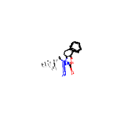 CCOC(=O)[C@H](C)NN1C(=O)OC2c3ccccc3CCC21